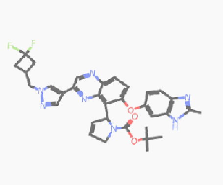 Cc1nc2ccc(Oc3ccc4ncc(-c5cnn(CC6CC(F)(F)C6)c5)nc4c3C3C=CCN3C(=O)OC(C)(C)C)cc2[nH]1